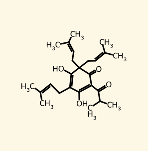 CC(C)=CCC1=C(O)C(CC=C(C)C)(CC=C(C)C)C(=O)C(C(=O)C(C)C)=C1O